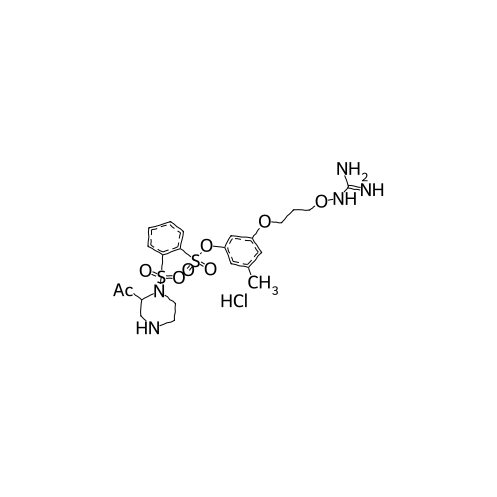 CC(=O)C1CNCCN1S(=O)(=O)c1ccccc1S(=O)(=O)Oc1cc(C)cc(OCCCONC(=N)N)c1.Cl